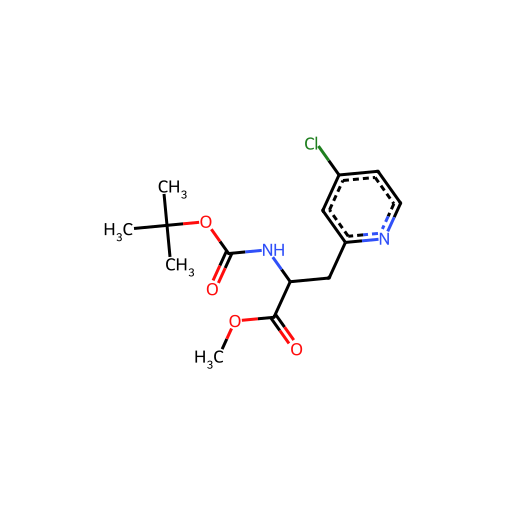 COC(=O)C(Cc1cc(Cl)ccn1)NC(=O)OC(C)(C)C